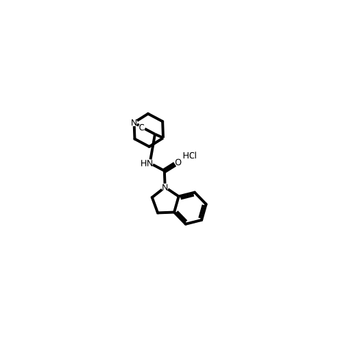 Cl.O=C(NC1CN2CCC1CC2)N1CCc2ccccc21